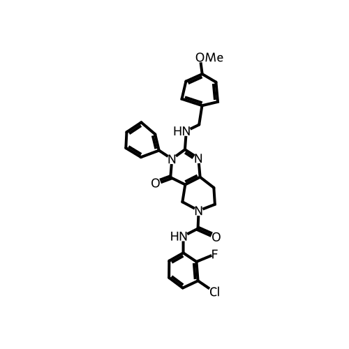 COc1ccc(CNc2nc3c(c(=O)n2-c2ccccc2)CN(C(=O)Nc2cccc(Cl)c2F)CC3)cc1